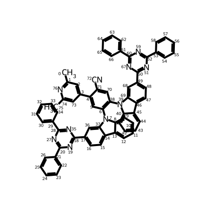 Cc1cc(-c2cc(-n3c4ccccc4c4ccc(-c5nc(-c6ccccc6)nc(-c6ccccc6)n5)cc43)c(-n3c4ccccc4c4ccc(-c5nc(-c6ccccc6)nc(-c6ccccc6)n5)cc43)cc2C#N)cc(C)n1